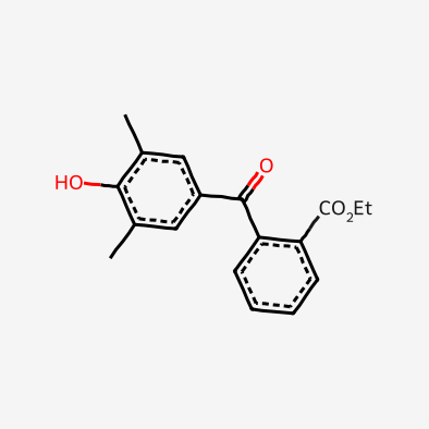 CCOC(=O)c1ccccc1C(=O)c1cc(C)c(O)c(C)c1